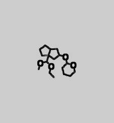 CCOC(OC)C12CCCC1CC(OC1CCCCO1)C2